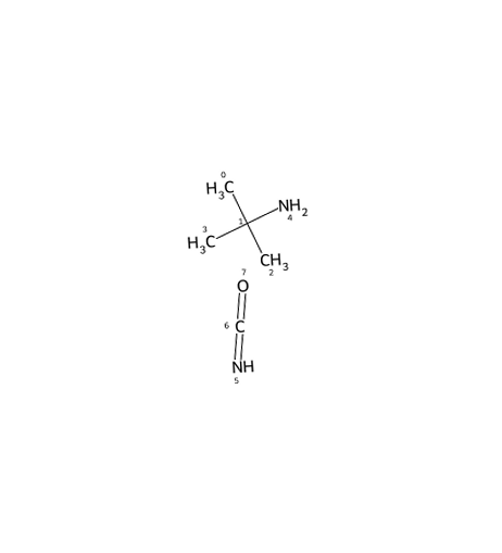 CC(C)(C)N.N=C=O